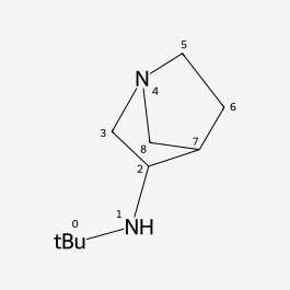 CC(C)(C)NC1CN2CCC1C2